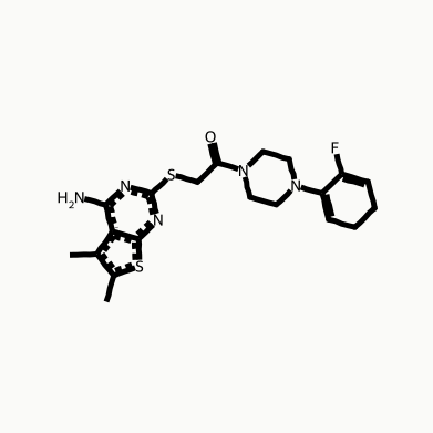 Cc1sc2nc(SCC(=O)N3CCN(C4=CCCC=C4F)CC3)nc(N)c2c1C